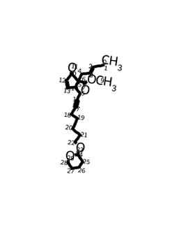 CCC=CCC1(C(=O)OC)C(=O)C=CC1CC#CCCCCCOC1CCCCO1